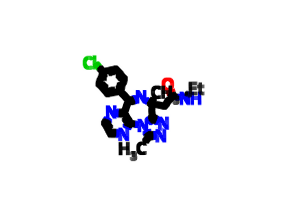 CCNC(=O)CC1(C)N=C(c2ccc(Cl)cc2)c2nccnc2-n2c(C)nnc21